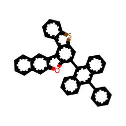 c1ccc(-c2c3ccccc3c(-c3cc4sc5ccccc5c4c4c3oc3cc5ccccc5cc34)c3ccccc23)cc1